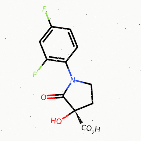 O=C(O)[C@]1(O)CCN(c2ccc(F)cc2F)C1=O